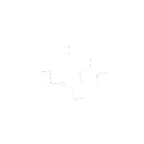 CC1=CC2CC[CH]([Zr+2][C]3=CC=CC3)C2C=C1C.[Cl-].[Cl-]